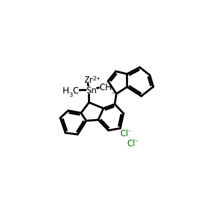 [CH3][Sn]([CH3])([Zr+2])[CH]1c2ccccc2-c2cccc(C3C=Cc4ccccc43)c21.[Cl-].[Cl-]